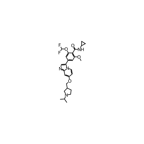 COc1cc(-c2cnc3cc(OCC4CCN(C(C)C)C4)ccn23)cc(OC(F)F)c1C(=O)NC1CC1